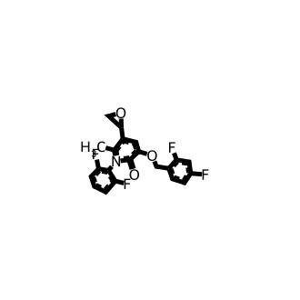 Cc1c(C2CO2)cc(OCc2ccc(F)cc2F)c(=O)n1-c1c(F)cccc1F